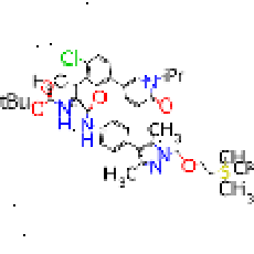 Cc1nn(COCCS(C)(C)C)c(C)c1-c1ccc(NC(=O)[C@@H](NC(=O)OC(C)(C)C)C(C)c2cc(-c3ccc(=O)n(C(C)C)c3)ccc2Cl)cc1